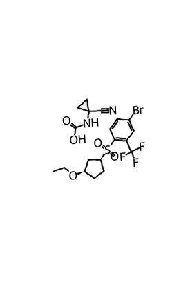 CCO[C@@H]1CC[C@H](S(=O)(=O)c2ccc(Br)cc2C(F)(F)F)C1.N#CC1(NC(=O)O)CC1